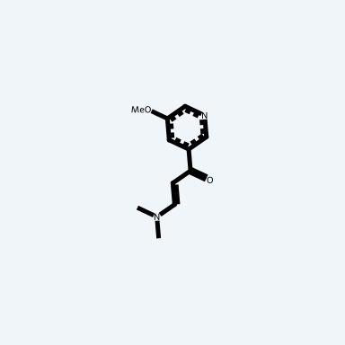 COc1cncc(C(=O)C=CN(C)C)c1